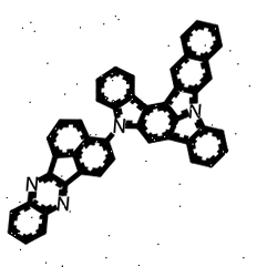 c1ccc2cc3c(cc2c1)c1c2c4ccccc4n(-c4ccc5c6c(cccc46)-c4nc6ccccc6nc4-5)c2cc2c4ccccc4n3c21